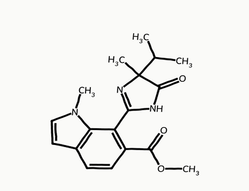 COC(=O)c1ccc2ccn(C)c2c1C1=NC(C)(C(C)C)C(=O)N1